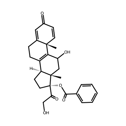 C[C@]12C=CC(=O)C=C1CCC1=C2C(O)C[C@@]2(C)[C@H]1CC[C@]2(OC(=O)c1ccccc1)C(=O)CO